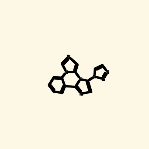 c1ccc2c(c1)c1ncc(-n3ccnn3)n1c1cncn21